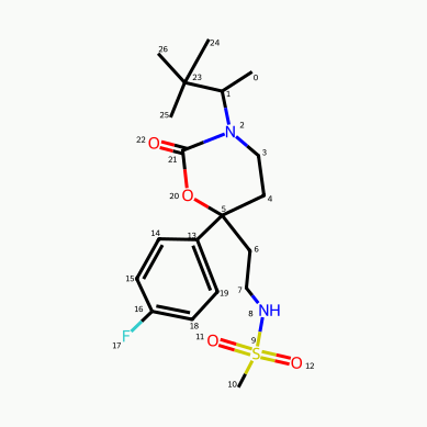 CC(N1CCC(CCNS(C)(=O)=O)(c2ccc(F)cc2)OC1=O)C(C)(C)C